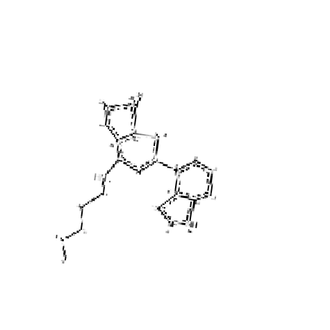 CSCCCNc1nc(-c2cccc3[nH]ncc23)nc2c1cnn2C